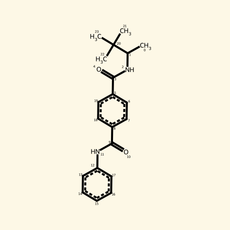 CC(NC(=O)c1ccc(C(=O)Nc2ccccc2)cc1)C(C)(C)C